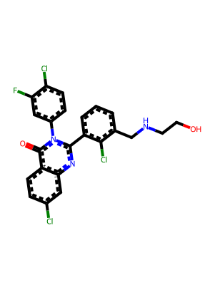 O=c1c2ccc(Cl)cc2nc(-c2cccc(CNCCO)c2Cl)n1-c1ccc(Cl)c(F)c1